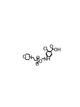 O=C(O)c1ccc(NCOS(=O)(=O)CCN2CCOCC2)cc1Cl